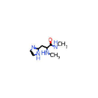 CNC(=O)C(Cc1ncc[nH]1)NC